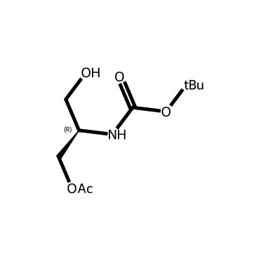 CC(=O)OC[C@@H](CO)NC(=O)OC(C)(C)C